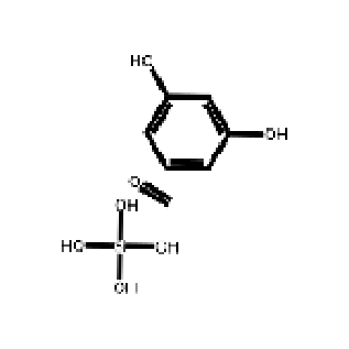 C=O.O[Si](O)(O)O.Oc1cccc(O)c1